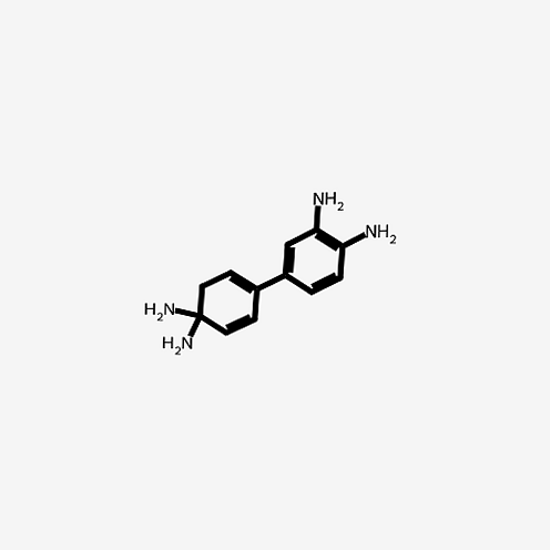 Nc1ccc(C2=CCC(N)(N)C=C2)cc1N